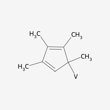 CC1=C[C](C)([V])C(C)=C1C